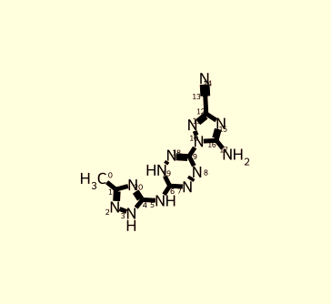 Cc1n[nH]c(NC2N=NC(n3nc(C#N)nc3N)=NN2)n1